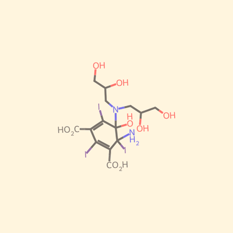 NC1(I)C(C(=O)O)=C(I)C(C(=O)O)=C(I)C1(O)N(CC(O)CO)CC(O)CO